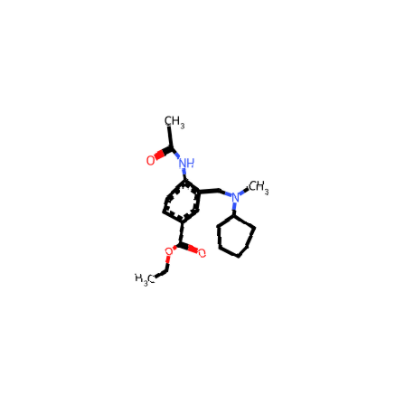 CCOC(=O)c1ccc(NC(C)=O)c(CN(C)C2CCCCC2)c1